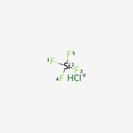 Cl.F[Si](F)(F)F